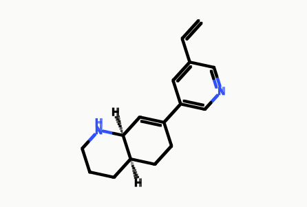 C=Cc1cncc(C2=C[C@@H]3NCCC[C@@H]3CC2)c1